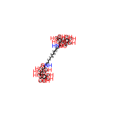 O=C(NCCCCCCCCCCCCNC(=O)[C@H](O)[C@@H](O)[C@H](O[C@H]1O[C@H](CO)[C@@H](O)[C@H](O)[C@H]1O)[C@H](O)CO)[C@H](O)[C@@H](O)[C@H](O[C@H]1O[C@H](CO)[C@@H](O)[C@H](O)[C@H]1O)[C@H](O)CO